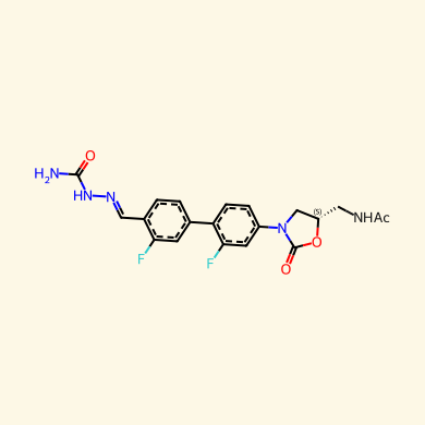 CC(=O)NC[C@H]1CN(c2ccc(-c3ccc(C=NNC(N)=O)c(F)c3)c(F)c2)C(=O)O1